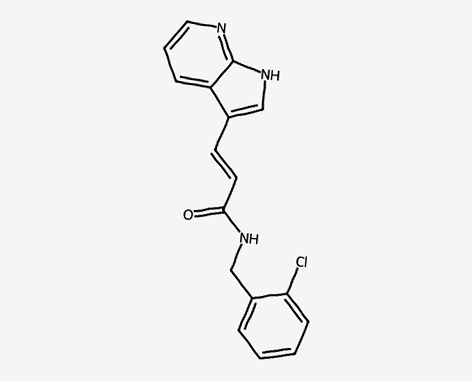 O=C(C=Cc1c[nH]c2ncccc12)NCc1ccccc1Cl